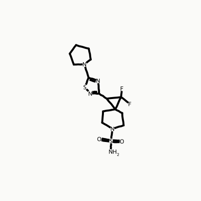 NS(=O)(=O)N1CCC2(CC1)C(c1nsc(N3CCCCC3)n1)C2(F)F